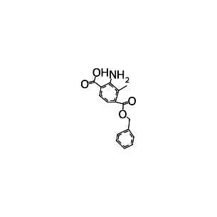 Cc1c(C(=O)OCc2ccccc2)ccc(C(=O)O)c1N